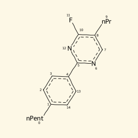 CCCCCc1ccc(-c2ncc(CCC)c(F)n2)cc1